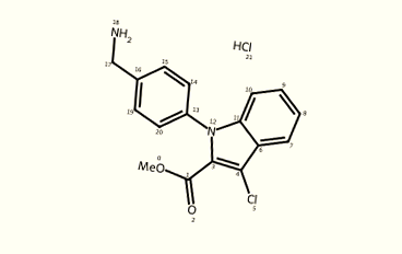 COC(=O)c1c(Cl)c2ccccc2n1-c1ccc(CN)cc1.Cl